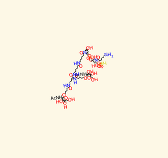 CC(=O)N[C@@H]1C(OCCCCC(=O)NCCCC[C@H](NC(=O)CCCCOC2OC(CO)[C@H](O)[C@H](O)[C@@H]2NC(C)=O)C(=O)NCCCCCC(=O)NCCCCCC(=O)N2C[C@H](O)C[C@H]2COP(=O)(O)O[C@@H]2C[C@@H](COP(=O)(S)OO)N(C(=O)CCCCCN)C2)OC(CO)[C@H](O)[C@@H]1O